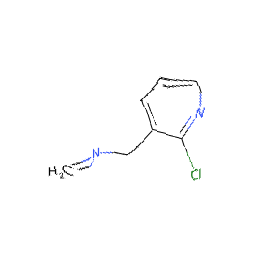 C=NCc1cccnc1Cl